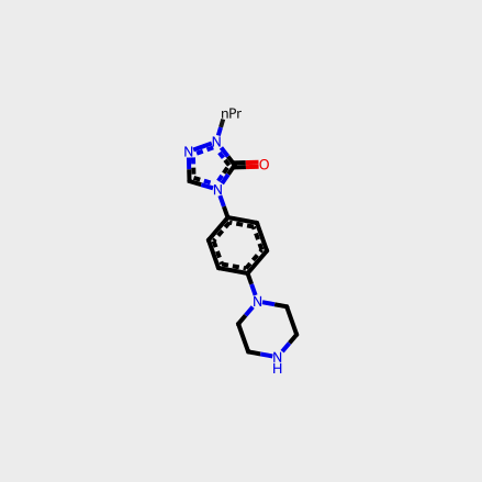 CCCn1ncn(-c2ccc(N3CCNCC3)cc2)c1=O